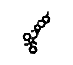 O=C(NC[C@H]1C2C(Cc3ccc(F)cc3F)NC[C@@H]21)[C@@](O)(c1ccccc1)C1CCCCC1